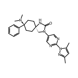 Cc1cc(C)n(-c2ncc(N3C[C@]4(CC[C@](c5ccccc5)(N(C)C)CC4)NC3=O)cn2)n1